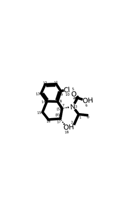 CC(C)N(C(=O)O)[C@H]1c2c(Cl)cccc2CC[C@H]1O